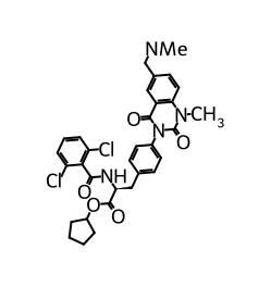 CNCc1ccc2c(c1)c(=O)n(-c1ccc(C[C@H](NC(=O)c3c(Cl)cccc3Cl)C(=O)OC3CCCC3)cc1)c(=O)n2C